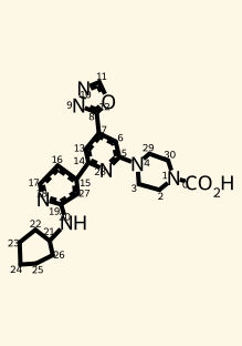 O=C(O)N1CCN(c2cc(-c3nnco3)cc(-c3ccnc(NC4CCCCC4)c3)n2)CC1